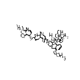 COc1cccc2c1CC1(CCN(c3cnc4nc(Sc5ccnc(N)c5Cl)ccc4n3)CC1)[C@@H]2N[S@+]([O-])C(C)(C)C